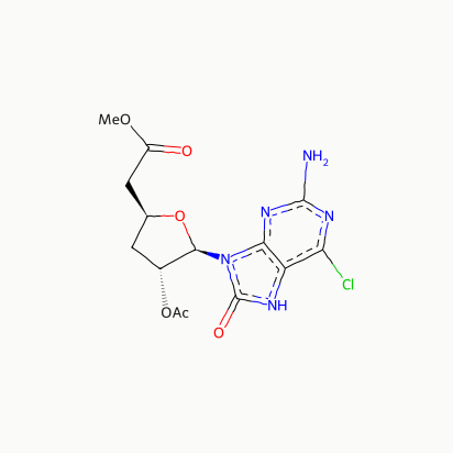 COC(=O)C[C@@H]1C[C@@H](OC(C)=O)[C@H](n2c(=O)[nH]c3c(Cl)nc(N)nc32)O1